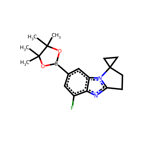 CC1(C)OB(c2cc(F)c3nc4n(c3c2)C2(CC4)CC2)OC1(C)C